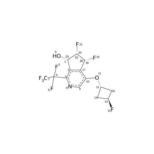 O[C@H]1c2c(C(F)(F)C(F)(F)F)ncc(O[C@H]3C[C@H](F)C3)c2[C@@H](F)[C@H]1F